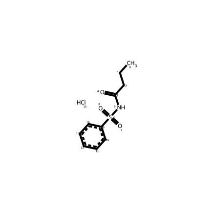 CCCC(=O)NS(=O)(=O)c1ccccc1.Cl